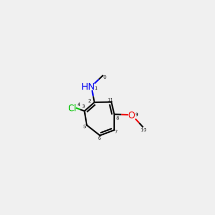 CNC1=C(Cl)CC=CC(OC)=C1